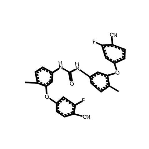 Cc1ccc(NC(=O)Nc2ccc(C)c(Oc3ccc(C#N)c(F)c3)c2)cc1Oc1ccc(C#N)c(F)c1